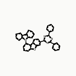 c1ccc(-c2nc(-c3ccccc3)nc(-c3ccc4c(c3)oc3cccc(-n5c6ccccc6c6ccccc65)c34)n2)cc1